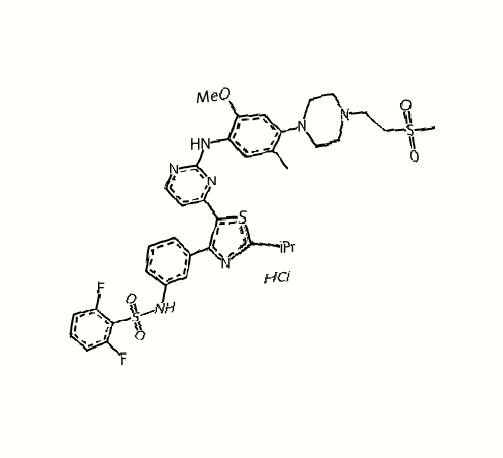 COc1cc(N2CCN(CCS(C)(=O)=O)CC2)c(C)cc1Nc1nccc(-c2sc(C(C)C)nc2-c2cccc(NS(=O)(=O)c3c(F)cccc3F)c2)n1.Cl